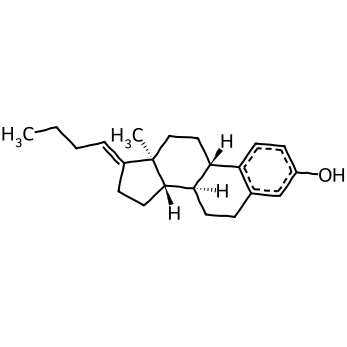 CCC/C=C1\CC[C@H]2[C@@H]3CCc4cc(O)ccc4[C@H]3CC[C@]12C